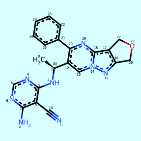 C[C@H](Nc1ncnc(N)c1C#N)c1cn2nc3c(c2nc1-c1ccccc1)COC3